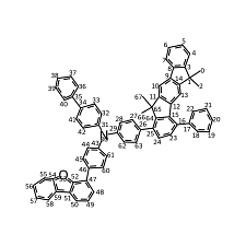 CC1(C)c2ccccc2-c2cc3c(cc21)-c1c(-c2ccccc2)ccc(-c2ccc(N(c4ccc(-c5ccccc5)cc4)c4ccc(-c5cccc6c5oc5ccccc56)cc4)cc2)c1C3(C)C